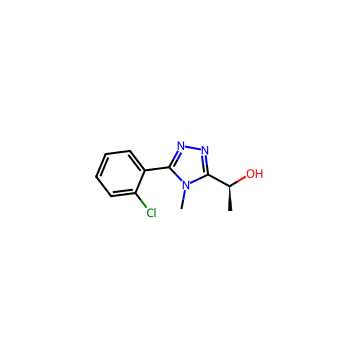 C[C@H](O)c1nnc(-c2ccccc2Cl)n1C